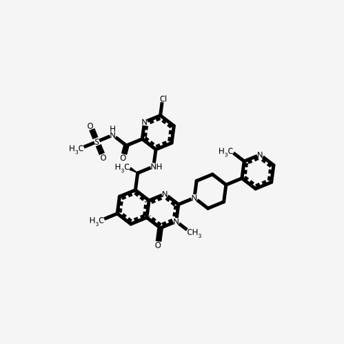 Cc1cc([C@@H](C)Nc2ccc(Cl)nc2C(=O)NS(C)(=O)=O)c2nc(N3CCC(c4cccnc4C)CC3)n(C)c(=O)c2c1